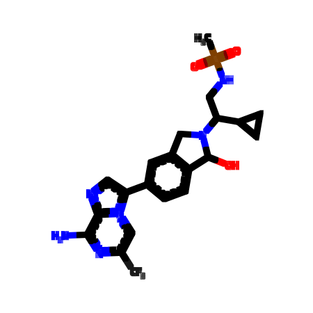 CS(=O)(=O)NCC(C1CC1)N1Cc2cc(-c3cnc4c(N)nc(C(F)(F)F)cn34)ccc2C1O